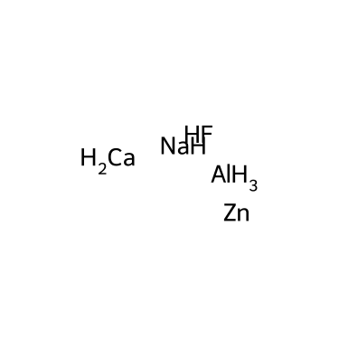 F.[AlH3].[CaH2].[NaH].[Zn]